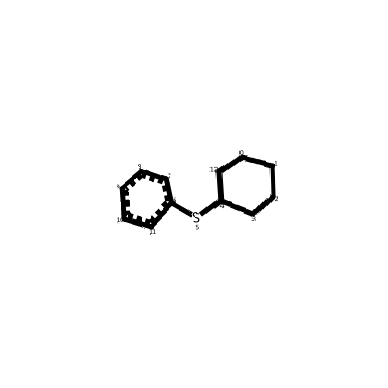 [CH]1CC[CH]C(Sc2ccccc2)C1